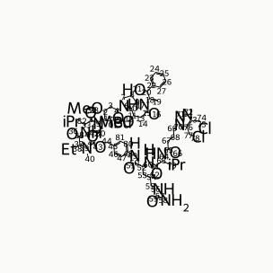 CC[C@H](C)[C@@H]([C@@H](CC(=O)N1CCC[C@H]1[C@H](OC)[C@@H](C)C(=O)N[C@H](C)[C@@H](O)c1ccccc1)OC)N(C)C(=O)[C@@H](NC(=O)[C@H](CC)N(C)C(=O)OCc1ccc(NC(=O)[C@H](CCCNC(N)=O)NC(=O)C(NC(=O)CCCn2nnc(CCl)c2CCl)C(C)C)cc1)C(C)C